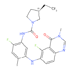 Cc1cc(F)c(NC(=O)N2CC[C@@H](CC(F)(F)F)C2)cc1Nc1ccc2ncn(C)c(=O)c2c1F